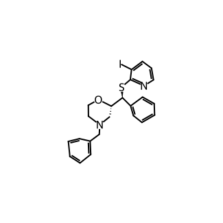 Ic1cccnc1S[C@@H](c1ccccc1)[C@@H]1CN(Cc2ccccc2)CCO1